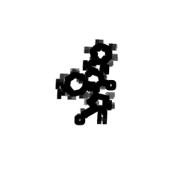 O=C=C1C=C(NC(=O)c2nc3ccccc3nc2N2CCCC(F)(F)CC2)C=NN1